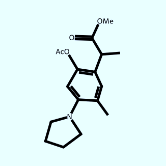 COC(=O)C(C)c1cc(C)c(N2CCCC2)cc1OC(C)=O